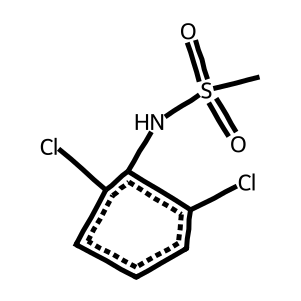 CS(=O)(=O)Nc1c(Cl)cccc1Cl